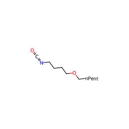 CCCCCCOCCCCN=C=O